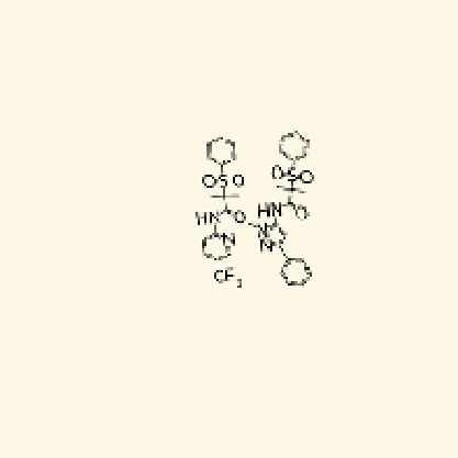 CC(C)(C(=O)Nc1ccc(C(F)(F)F)cn1)S(=O)(=O)c1ccccc1.Cn1nc(-c2ccccc2)cc1NC(=O)C(C)(C)S(=O)(=O)c1ccccc1